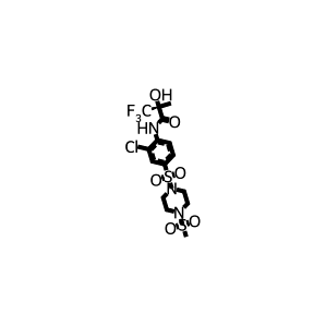 C[C@@](O)(C(=O)Nc1ccc(S(=O)(=O)N2CCN(S(C)(=O)=O)CC2)cc1Cl)C(F)(F)F